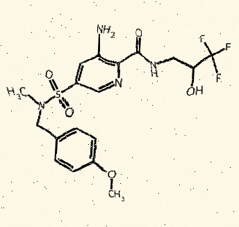 COc1ccc(CN(C)S(=O)(=O)c2cnc(C(=O)NCC(O)C(F)(F)F)c(N)c2)cc1